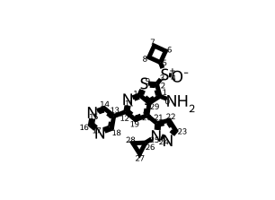 Nc1c([S+]([O-])C2CCC2)sc2nc(-c3cncnc3)cc(-c3ccnn3C3CC3)c12